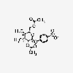 CC(=O)OCC1O[C@@H](Oc2ccc([N+](=O)[O-])cc2)C(OC(C)=O)[C@@H](C)[C@H]1C